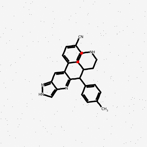 Cc1ccc(C(c2nc3c[nH]nc3cc2-c2ccc(C#N)cc2)C2CCNCC2)cc1